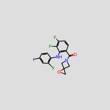 O=C(c1ccc(F)c(F)c1Nc1ccc(I)cc1F)N1CC2(CO2)C1